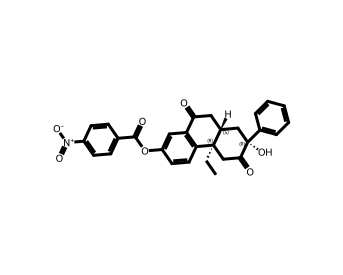 CC[C@@]12CC(=O)[C@](O)(c3ccccc3)C[C@H]1CC(=O)c1cc(OC(=O)c3ccc([N+](=O)[O-])cc3)ccc12